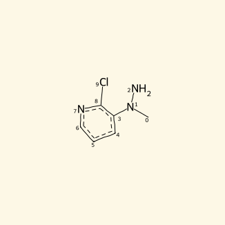 CN(N)c1cccnc1Cl